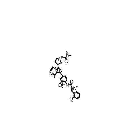 COc1cc(-c2nc([C@@H]3CCN(CC(=O)N(C)C)C3)n3ccnc(C)c23)ccc1NC(=O)c1cc2c(OC)cccc2n1C